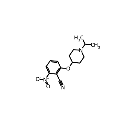 CC(C)N1CCC(Oc2cccc([N+](=O)[O-])c2C#N)CC1